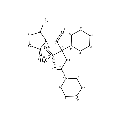 CC(C)C1COC(=O)N1C(=O)C(CC(=O)N1CCOCC1)(C1CCCCC1)S(C)(=O)=O